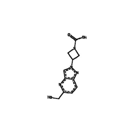 O=C(O)N1CC(n2cc3nc(CO)ccc3n2)C1